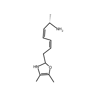 CC1=C(C)OC(C/C=C\C=C/[C@H](C)N)N1